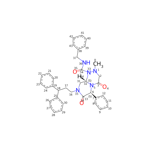 CN1CC(=O)N2[C@@H](c3ccccc3)C(=O)N(CCC(c3ccccc3)c3ccccc3)C[C@@H]2N1C(=O)NCc1ccccc1